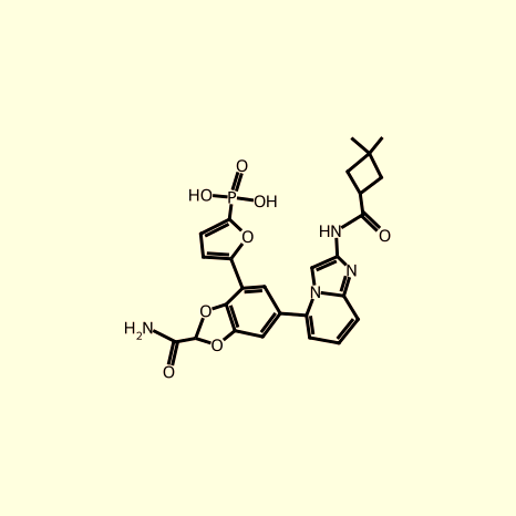 CC1(C)CC(C(=O)Nc2cn3c(-c4cc5c(c(-c6ccc(P(=O)(O)O)o6)c4)OC(C(N)=O)O5)cccc3n2)C1